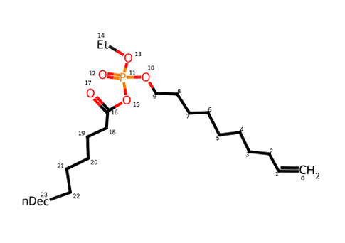 C=CCCCCCCCCOP(=O)(OCC)OC(=O)CCCCCCCCCCCCCCC